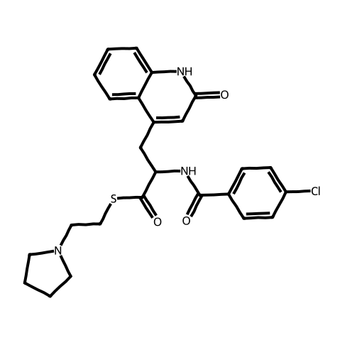 O=C(NC(Cc1cc(=O)[nH]c2ccccc12)C(=O)SCCN1CCCC1)c1ccc(Cl)cc1